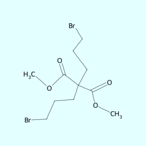 COC(=O)C(CCCBr)(CCCBr)C(=O)OC